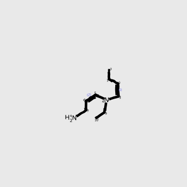 CC/C=C\N(/C=C\CN)CC